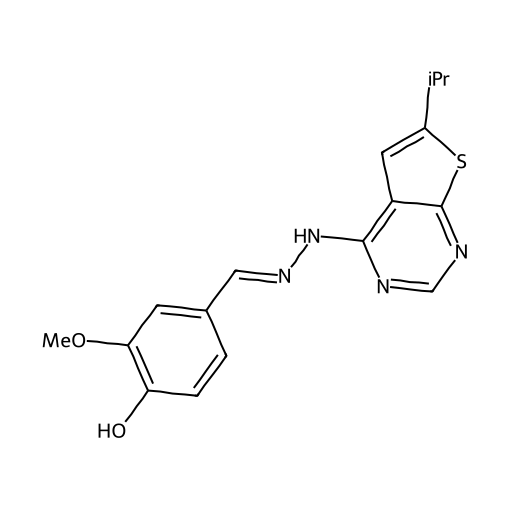 COc1cc(/C=N/Nc2ncnc3sc(C(C)C)cc23)ccc1O